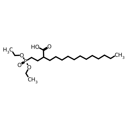 CCCCCCCCCCCCC(CCP(=O)(OCC)OCC)C(=O)O